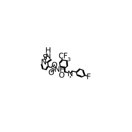 CN(Cc1ccc(F)cc1)C(=O)c1ccc(C(F)(F)F)cc1NS(=O)(=O)C1=CC=CN2SNC=C12